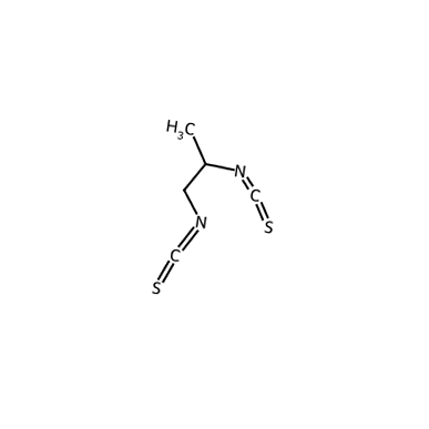 CC(CN=C=S)N=C=S